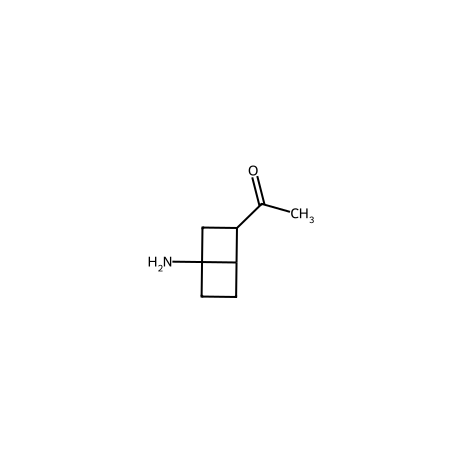 CC(=O)C1CC2(N)CCC12